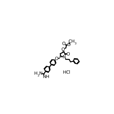 COC(=O)CO[C@@H]1C[C@@H](COc2ccc(-c3ccc(C(=N)N)cc3)cc2)N(CCCc2ccccc2)C1=O.Cl